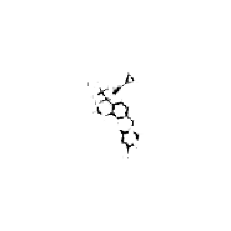 Cc1cc(=O)n(Cc2ccc3c(c2)N=CN[C@]3(C#CC2CC2)C(C)(F)F)cn1